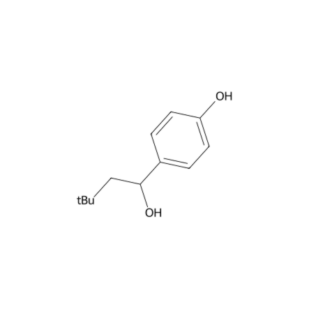 CC(C)(C)CC(O)c1ccc(O)cc1